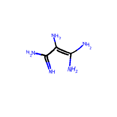 N=C(N)C(N)=C(N)N